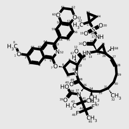 COc1ccc2c(O[C@@H]3C[C@H]4C(=O)N[C@]5(C(=O)NS(=O)(=O)C6(C)CC6)C[C@H]5C=CCC[C@H](C)C[C@@H](C)[C@H](N(C(=O)O)C(C)(C)C(C)(F)F)C(=O)N4C3)nc(-c3ccc4c(c3)OCCO4)cc2c1